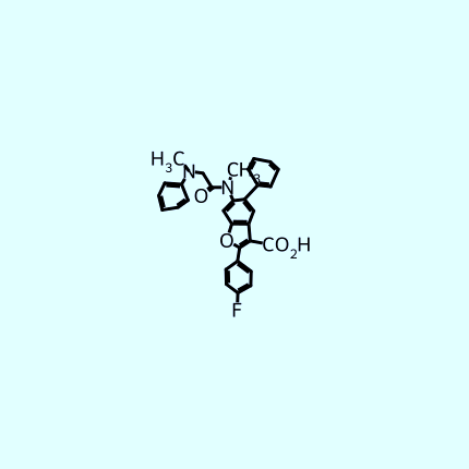 CN(CC(=O)N(C)c1cc2oc(-c3ccc(F)cc3)c(C(=O)O)c2cc1-c1ccccc1)c1ccccc1